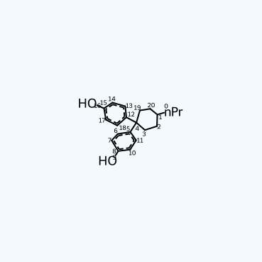 CCCC1CCC(c2ccc(O)cc2)(c2ccc(O)cc2)CC1